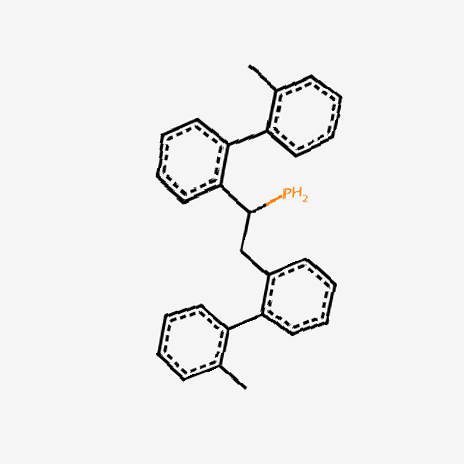 Cc1ccccc1-c1ccccc1CC(P)c1ccccc1-c1ccccc1C